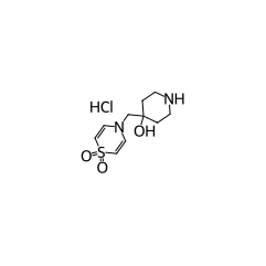 Cl.O=S1(=O)C=CN(CC2(O)CCNCC2)C=C1